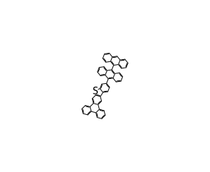 c1ccc2c(-c3c4ccccc4c(-c4ccc5c(c4)sc4cc6c7ccccc7c7ccccc7c6cc45)c4ccccc34)c3ccccc3cc2c1